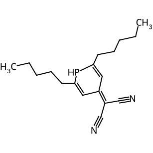 CCCCCC1=CC(=C(C#N)C#N)C=C(CCCCC)P1